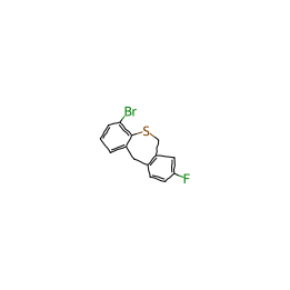 Fc1ccc2c(c1)CSc1c(Br)cccc1C2